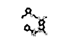 C=CCc1ccccc1OCCOc1ccc(C=C(C#N)C(=O)Nc2nnc(-c3ccccc3)s2)cc1OC